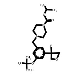 CC(C)(Oc1cc(CN2CCN(C(=O)OC(C(F)(F)F)C(F)(F)F)CC2)cc(C2(F)COC2)c1)C(=O)O